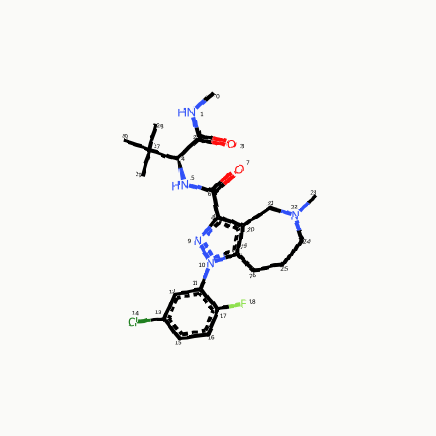 CNC(=O)[C@@H](NC(=O)c1nn(-c2cc(Cl)ccc2F)c2c1CN(C)CCC2)C(C)(C)C